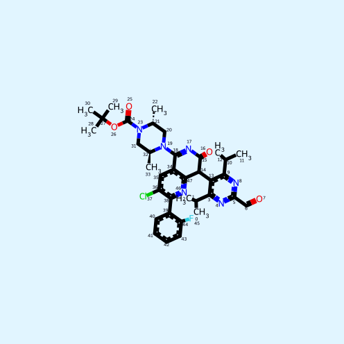 CC(C)c1nc(C=O)nc(C(C)C)c1C1C(=O)N=C(N2C[C@@H](C)N(C(=O)OC(C)(C)C)C[C@@H]2C)c2cc(Cl)c(-c3ccccc3F)nc21